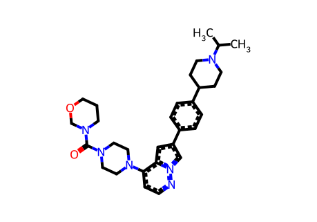 CC(C)N1CCC(c2ccc(-c3cc4c(N5CCN(C(=O)N6CCCOC6)CC5)ccnn4c3)cc2)CC1